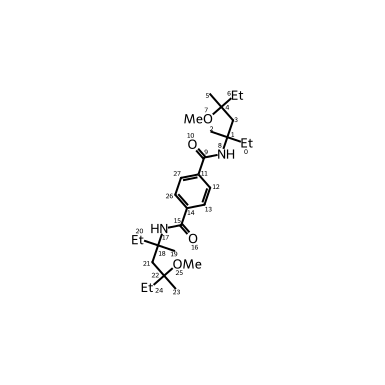 CCC(C)(CC(C)(CC)OC)NC(=O)c1ccc(C(=O)NC(C)(CC)CC(C)(CC)OC)cc1